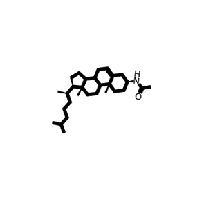 CC(=O)N[C@H]1CC[C@@]2(C)C(=CCC3C2CC[C@@]2(C)C3CC[C@@H]2[C@H](C)CCCC(C)C)C1